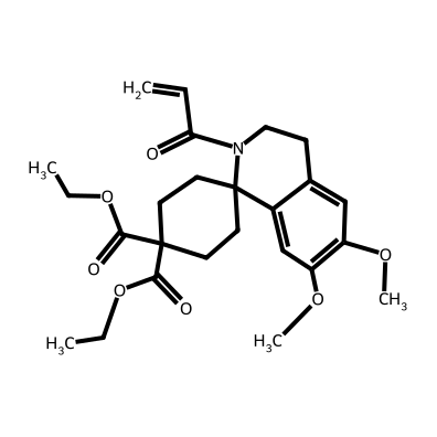 C=CC(=O)N1CCc2cc(OC)c(OC)cc2C12CCC(C(=O)OCC)(C(=O)OCC)CC2